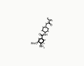 COc1cc(C(=O)NC2CCN(CC(=O)N(C)C)CC2)ccc1N